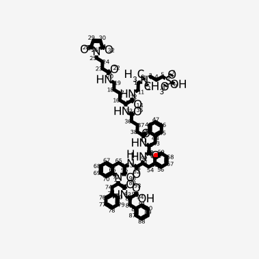 C[N+](C)(CCCS(=O)(=O)O)CCNC(=O)C(CCCCNC(=O)CCCN1C(=O)C=CC1=O)NC(=O)CCCC(=O)NC(Cc1ccccc1)C(=O)NC(Cc1ccccc1)C(=O)NC1Cc2ccccc2N(C(Cc2ccccc2)C(=O)NC(Cc2ccccc2)C(=O)O)C1=O